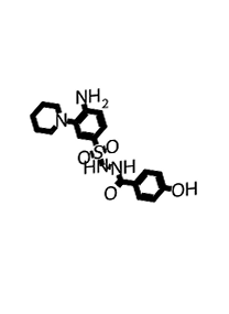 Nc1ccc(S(=O)(=O)NNC(=O)c2ccc(O)cc2)cc1N1CCCCC1